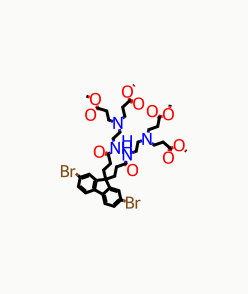 COC(=O)CCN(CCNC(=O)CCC1(CCC(=O)NCCN(CCC(=O)OC)CCC(=O)OC)c2cc(Br)ccc2-c2ccc(Br)cc21)CCC(=O)OC